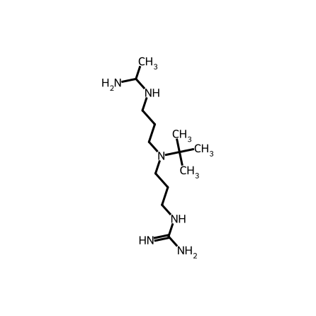 CC(N)NCCCN(CCCNC(=N)N)C(C)(C)C